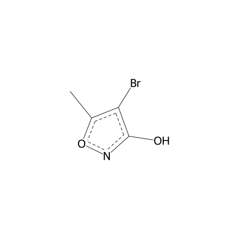 Cc1onc(O)c1Br